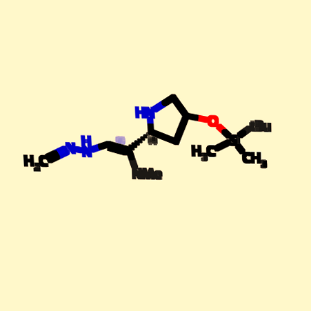 C=NN/C=C(\NC)[C@H]1CC(O[Si](C)(C)C(C)(C)C)CN1